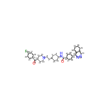 O=C(NC1CCC(CCN2CCC(C(=O)c3ccc(F)cc3)CC2)CC1)c1ccc(-c2nncc3ccccc23)cc1